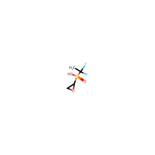 CC(F)(F)P(=O)(O)C1CO1